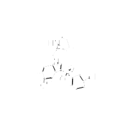 O=S(=O)(c1cccc(Cl)c1)c1cn(CC2CCCCN2)c2ccc(Cl)cc12